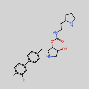 O=C(NCC[C@H]1CCCN1)O[C@@H]1[C@@H](O)CN[C@@H]1Cc1ccc(-c2ccc(F)c(F)c2)cc1